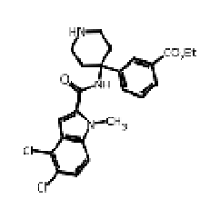 CCOC(=O)c1cccc(C2(NC(=O)c3cc4c(Cl)c(Cl)ccc4n3C)CCNCC2)c1